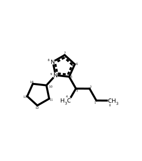 CCCC(C)c1ccnn1C1CCCC1